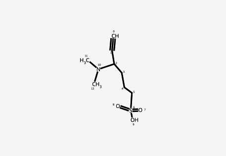 C#CC(CCCS(=O)(=O)O)N(C)C